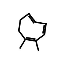 CC1=C(\C)CC/C=C/C=C\1